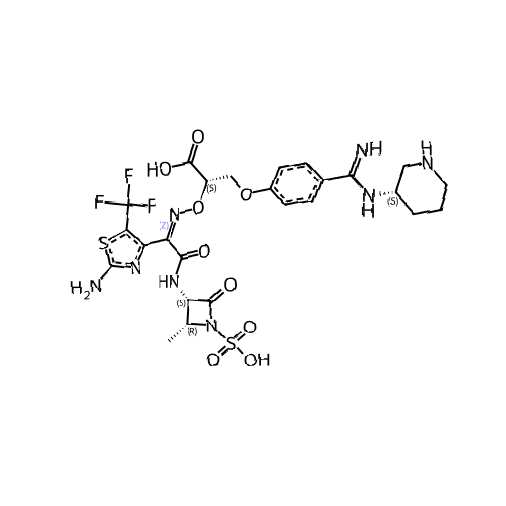 C[C@@H]1[C@H](NC(=O)/C(=N\O[C@@H](COc2ccc(C(=N)N[C@H]3CCCNC3)cc2)C(=O)O)c2nc(N)sc2C(F)(F)F)C(=O)N1S(=O)(=O)O